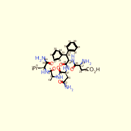 CC(C)[C@H](NC(=O)[C@H](C)NC(=O)[C@H](CC(N)=O)NC(=O)[C@@H](NC(=O)[C@@H](N)CC(=O)O)C(c1ccccc1)c1ccccc1)C(N)=O